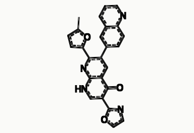 Cc1ccc(-c2nc3[nH]cc(-c4ncco4)c(=O)c3cc2-c2ccc3ncccc3c2)o1